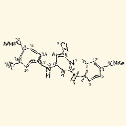 COc1ccc(Nc2nc(Cl)cc(Nc3ccc(OC)c(F)c3)n2)cc1